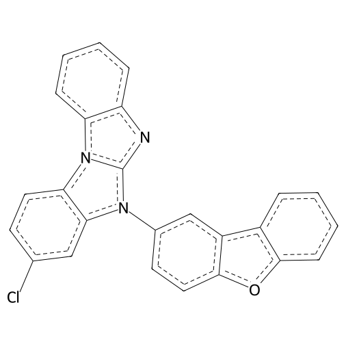 Clc1ccc2c(c1)n(-c1ccc3oc4ccccc4c3c1)c1nc3ccccc3n21